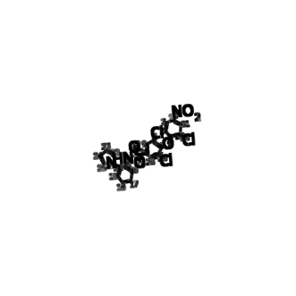 O=[N+]([O-])c1ccc(Oc2c(Cl)cc(S(=O)(=O)Nc3ccccc3-n3cccc3)cc2Cl)c(Cl)c1